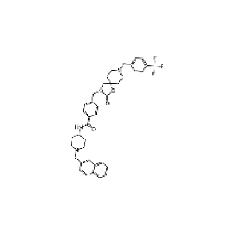 O=C(NC1CCN(Cc2ccc3ccccc3c2)CC1)c1ccc(CN2CC3(CCN(Cc4ccc(C(F)(F)F)cc4)CC3)OC2=O)cc1